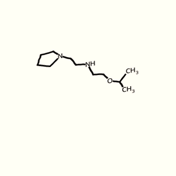 CC(C)OCCNCCN1CCCC1